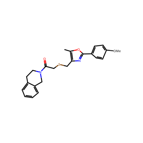 COc1ccc(-c2nc(CSCC(=O)N3CCc4ccccc4C3)c(C)o2)cc1